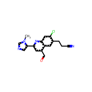 Cn1cncc1-c1cc(C=O)c2cc(CCC#N)c(Cl)cc2n1